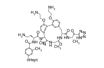 CCCCCCCc1ccc(C(=O)N[C@@H](CCN)C(=O)N(C)[C@@H]2C(=O)N[C@@H](C)C(=O)N[C@H](C(=O)N[C@@H](C)C(=O)c3nnn[nH]3)Cc3ccc(OCCN)c(c3)-c3cc2ccc3OCCN)c(C)c1